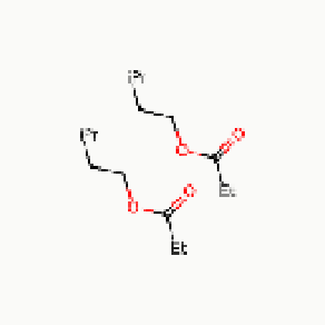 CCC(=O)OCCC(C)C.CCC(=O)OCCC(C)C